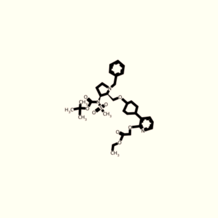 CCOC(=O)COc1ncccc1C1CCC(OC[C@H]2[C@@H](N(C(=O)OC(C)(C)C)S(C)(=O)=O)CCN2Cc2ccccc2)CC1